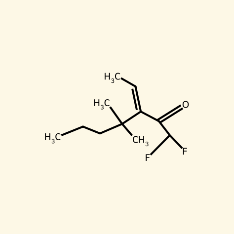 C/C=C(/C(=O)C(F)F)C(C)(C)CCC